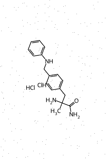 CC(N)(Cc1ccc(CNc2ccccc2)cc1)C(N)=O.Cl.Cl